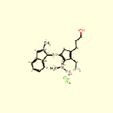 CCC1=C(CCCO)C[C]([Zr+2][CH]2C(C)=Cc3ccccc32)=C1[SiH](C)C.[Cl-].[Cl-]